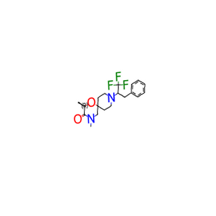 C[C@H]1OC2(CCN(C(Cc3ccccc3)C(F)(F)F)CC2)CN(C)C1=O